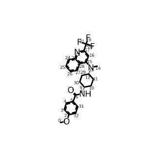 COc1ccc(C(=O)N[C@H]2CC[C@@H](N(C)c3cc(C(F)(F)F)nc4ccccc34)CC2)cc1